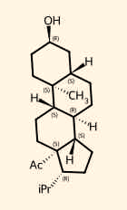 CC(=O)[C@]12CC[C@H]3[C@@H](CC[C@H]4C[C@H](O)CC[C@@]43C)[C@@H]1CC[C@@H]2C(C)C